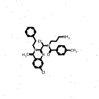 C=C1c2ccc(Cl)cc2N=C(C(CC)N(CCCN)C(=O)c2ccc(C)cc2)N1CCc1ccccc1